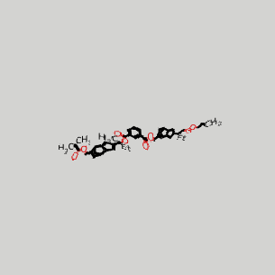 C=CCOOCC(CC)C1CC2C3CC(COC(=O)c4cccc(C(=O)OC(C)(CC)C5CC6C7CC(COC(=O)C(=C)C)C(C7)C6C5)c4)C(C3)C2C1